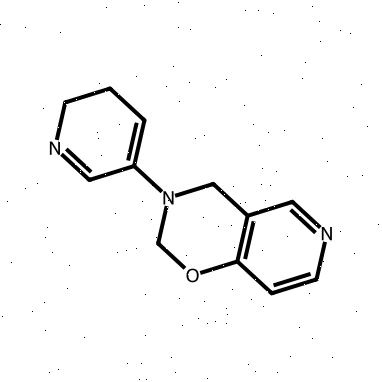 C1=NCCC=C1N1COc2ccncc2C1